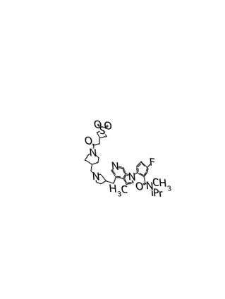 Cc1cn(-c2ccc(F)cc2C(=O)N(C)C(C)C)c2cncc(CC3CCN(CC4CCN(C(=O)CC5CS(=O)(=O)C5)CC4)C3)c12